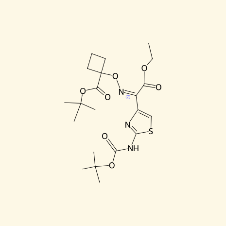 CCOC(=O)/C(=N\OC1(C(=O)OC(C)(C)C)CCC1)c1csc(NC(=O)OC(C)(C)C)n1